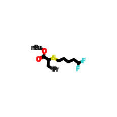 CCCCOC(=O)C(CC(C)C)SCCCCC(F)F